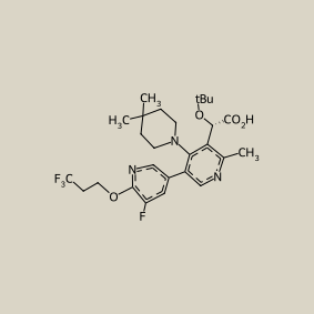 Cc1ncc(-c2cnc(OCCC(F)(F)F)c(F)c2)c(N2CCC(C)(C)CC2)c1[C@H](OC(C)(C)C)C(=O)O